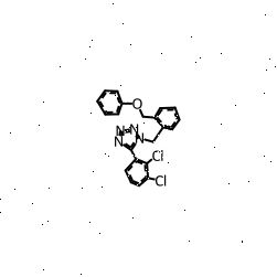 Clc1cccc(-c2nnnn2Cc2ccccc2COc2ccccc2)c1Cl